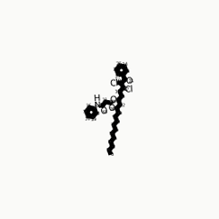 CCCCCCCCCCCCCC(CCC(Cl)C(Cl)C(=O)c1ccccc1)OC(=O)CC(=O)Nc1ccccc1